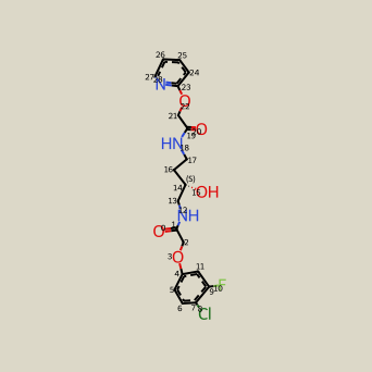 O=C(COc1ccc(Cl)c(F)c1)NC[C@@H](O)CCNC(=O)COc1ccccn1